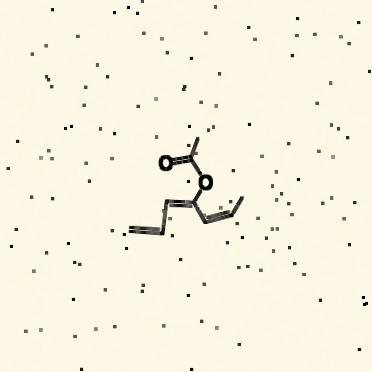 C=C/C=C(\C=C/C)OC(C)=O